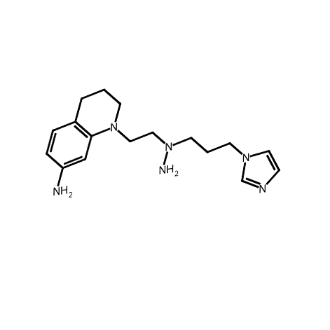 Nc1ccc2c(c1)N(CCN(N)CCCn1ccnc1)CCC2